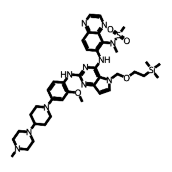 COc1cc(N2CCC(N3CCN(C)CC3)CC2)ccc1Nc1nc(Nc2ccc3nccnc3c2N(C)S(C)(=O)=O)c2c(ccn2COCC[Si](C)(C)C)n1